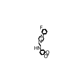 Fc1cccc(N2CCN(CCNc3ccc4c(c3)OCO4)CC2)c1